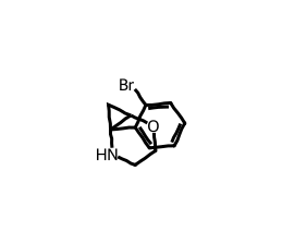 Brc1ccccc1C12CC1OCCN2